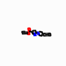 CC(C)(C)OC(=O)c1ccc(N2CCC(C=O)CC2)nc1